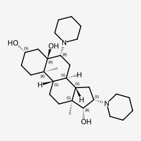 C[C@]12CC[C@H]3[C@@H](C[C@@H](N4CCCCC4)[C@@]4(O)C[C@@H](O)CC[C@]34C)[C@@H]1C[C@H](N1CCCCC1)[C@@H]2O